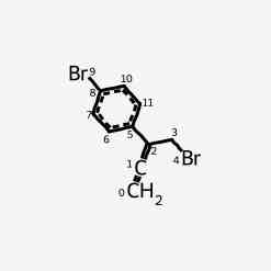 C=C=C(CBr)c1ccc(Br)cc1